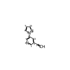 C#Cc1cncc(-n2cccn2)c1